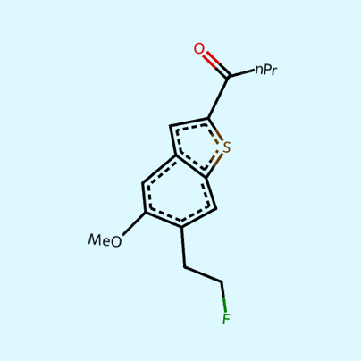 CCCC(=O)c1cc2cc(OC)c(CCF)cc2s1